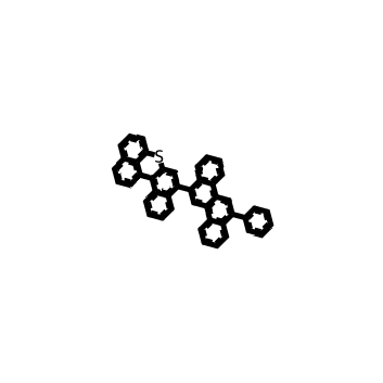 c1ccc(-c2cc3c4ccccc4c(-c4cc5c(c6ccccc46)-c4cccc6cccc(c46)S5)cc3c3ccccc23)cc1